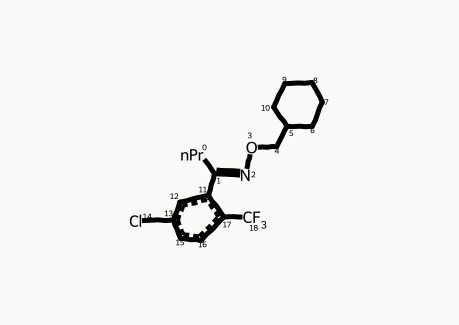 CCC/C(=N\OCC1CCCCC1)c1cc(Cl)ccc1C(F)(F)F